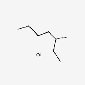 CCCCC(C)CC.[Ce]